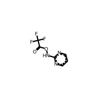 O=C(ONc1ncccn1)C(F)(F)F